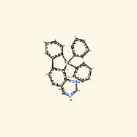 c1ccc([Si]2(c3ccccc3)c3ccccc3-c3ccc4cncnc4c32)cc1